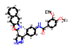 CCOc1ccc(C(=O)Nc2ccc(-c3n[nH]cc3-c3nc4cc5ccccc5cc4o3)cc2)cc1OCC